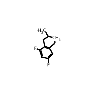 [CH2]C(C)Cc1c(F)cc(F)cc1F